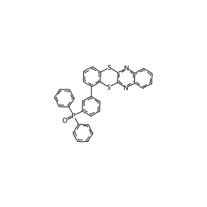 O=P(c1ccccc1)(c1ccccc1)c1cccc(-c2cccc3c2Sc2nc4ccccc4nc2S3)c1